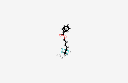 O=C(OCCCCC(F)(F)C(F)(F)S(=O)(=O)O)C1CC2C=CC1C2